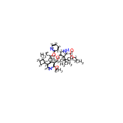 CCOC(=O)[C@H]1N[C@@H](c2cccnc2OC(C)C)[C@@H](OCc2cc(C3CCC3)cnc2OC)[C@@H]1C(C)(C)C